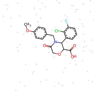 COc1ccc(CN2C(=O)COC(C(=O)O)C2c2cccc(F)c2Cl)cc1